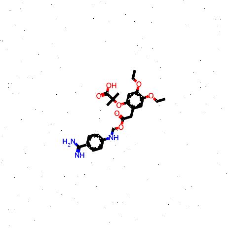 CCOc1cc(CC(=O)OCNc2ccc(C(=N)N)cc2)c(OC(C)(C)C(=O)O)cc1OCC